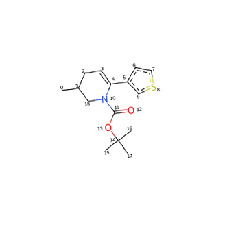 CC1CC=C(c2ccsc2)N(C(=O)OC(C)(C)C)C1